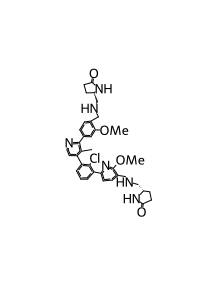 COc1cc(-c2nccc(-c3cccc(-c4ccc(CNC[C@@H]5CCC(=O)N5)c(OC)n4)c3Cl)c2C)ccc1CNC[C@H]1CCC(=O)N1